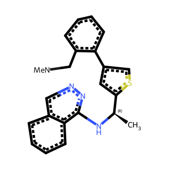 CNCc1ccccc1-c1csc([C@@H](C)Nc2nncc3ccccc23)c1